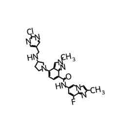 Cc1cn2cc(NC(=O)c3ccc(N4CC[C@@H](NCc5cnc(Cl)nc5)C4)c4cn(C)nc34)cc(F)c2n1